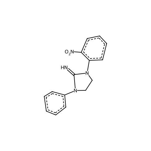 N=C1N(c2ccccc2)CCN1c1ccccc1[N+](=O)[O-]